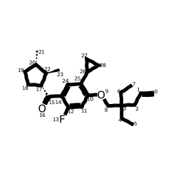 C=CCC(CC)(CC)COc1cc(F)c(C(=O)[C@@H]2CC[C@H](C)[C@H]2C)cc1C1CC1